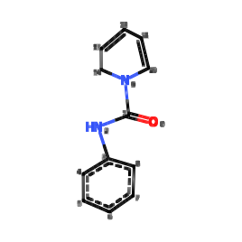 O=C(Nc1ccccc1)N1C=CC=CC1